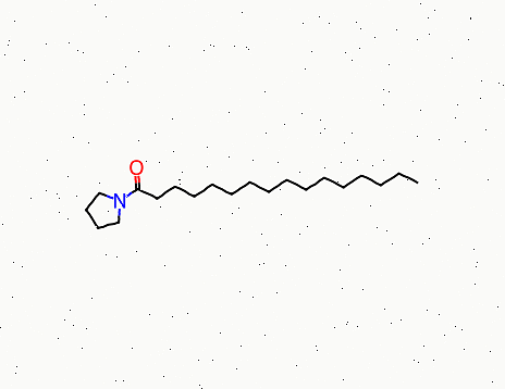 CCCCCCCCCCCCCCCC(=O)N1CCCC1